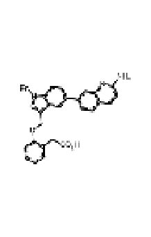 CC(C)n1nc(COc2ccccc2CC(=O)O)c2cc(-c3ccc4ccc(N)nc4c3)ccc21